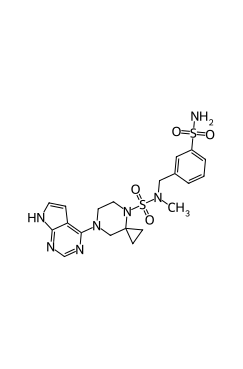 CN(Cc1cccc(S(N)(=O)=O)c1)S(=O)(=O)N1CCN(c2ncnc3[nH]ccc23)CC12CC2